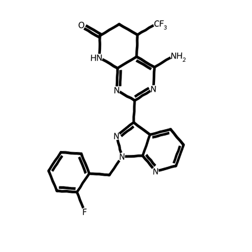 Nc1nc(-c2nn(Cc3ccccc3F)c3ncccc23)nc2c1C(C(F)(F)F)CC(=O)N2